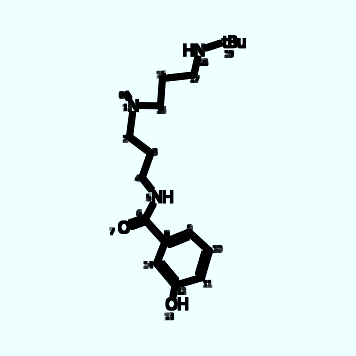 CN(CCCNC(=O)c1cccc(O)c1)CCCNC(C)(C)C